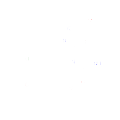 COc1nnc(N(C(N)=O)c2cc(Cl)c(OC)cc2OC)s1